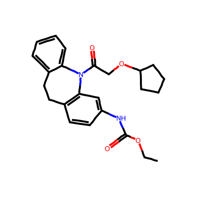 CCOC(=O)Nc1ccc2c(c1)N(C(=O)COC1CCCC1)c1ccccc1CC2